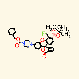 CC1(C)OB(c2ccc3c(c2CF)Oc2cc(N4CCN(C(=O)OCc5ccccc5)CC4)ccc2C32OC(=O)c3ccccc32)OC1(C)C